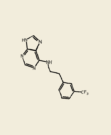 FC(F)(F)c1cccc(CCNc2ncnc3[nH]cnc23)c1